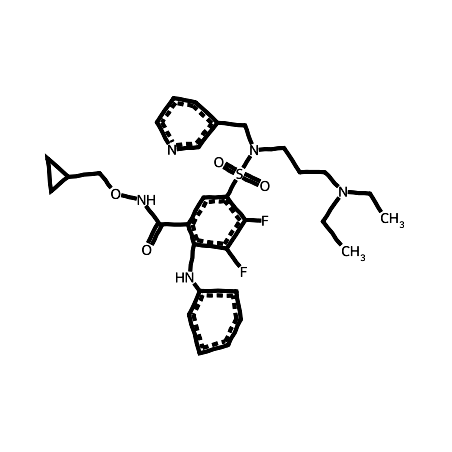 CCN(CC)CCCN(Cc1cccnc1)S(=O)(=O)c1cc(C(=O)NOCC2CC2)c(Nc2ccccc2)c(F)c1F